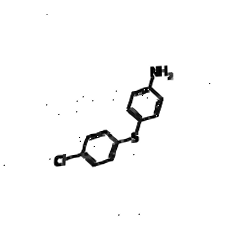 Nc1ccc(Sc2ccc(Cl)cc2)cc1